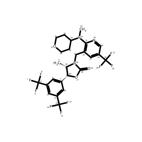 C[C@H]1[C@@H](c2cc(C(F)(F)F)cc(C(F)(F)F)c2)OC(=O)N1Cc1cc(C(F)(F)F)cnc1N(C)C1CCOCC1